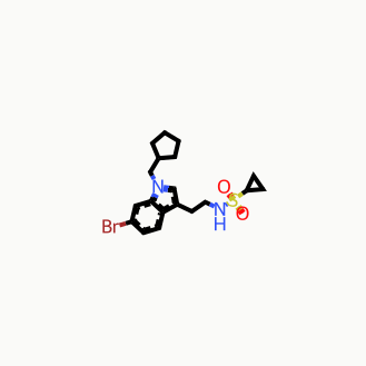 O=S(=O)(NCCc1cn(CC2CCCC2)c2cc(Br)ccc12)C1CC1